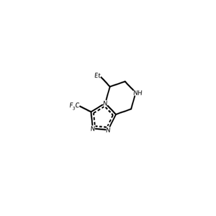 CCC1CNCc2nnc(C(F)(F)F)n21